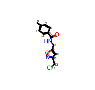 Cc1ccc(C(=O)NCc2cc(CCl)no2)cc1